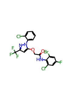 O=C(COc1cc(C(F)(F)F)nn1-c1ccccc1Cl)Nc1c(Cl)cc(F)cc1Br